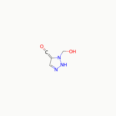 O=C=C1C=NNN1CO